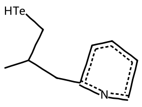 CC(C[TeH])Cc1ccccn1